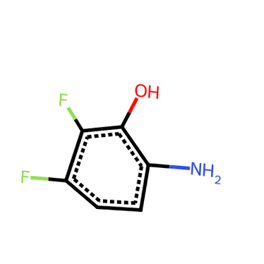 Nc1ccc(F)c(F)c1O